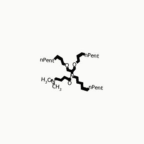 CCCCC/C=C\CCCN(C(=O)CCCN(C)C)C(COC/C=C\CCCCC)COC/C=C\CCCCC